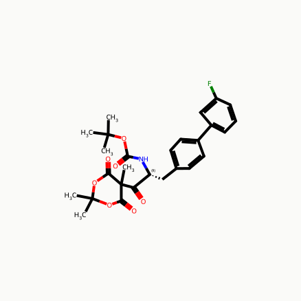 CC(C)(C)OC(=O)N[C@H](Cc1ccc(-c2cccc(F)c2)cc1)C(=O)C1(C)C(=O)OC(C)(C)OC1=O